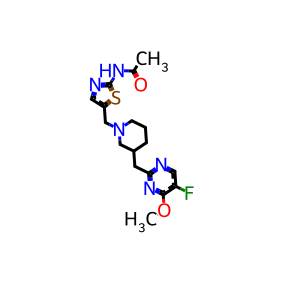 COc1nc(CC2CCCN(Cc3cnc(NC(C)=O)s3)C2)ncc1F